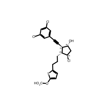 O=C(O)Oc1ccc(CCC[C@@H]2[C@@H](C#Cc3cc(Cl)cc(Cl)c3)[C@H](O)C[C@H]2Cl)s1